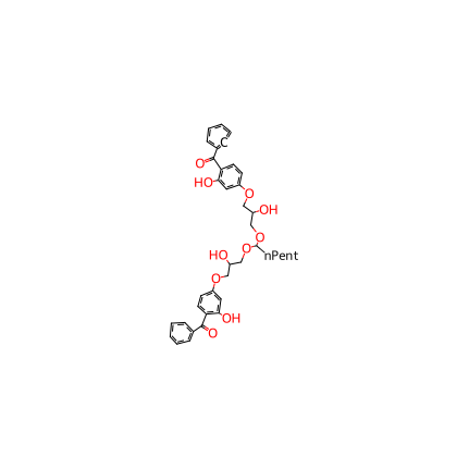 CCCCCC(OCC(O)COc1ccc(C(=O)c2ccccc2)c(O)c1)OCC(O)COc1ccc(C(=O)c2ccccc2)c(O)c1